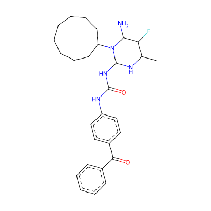 CC1NC(NC(=O)Nc2ccc(C(=O)c3ccccc3)cc2)N(C2CCCCCCCC2)C(N)C1F